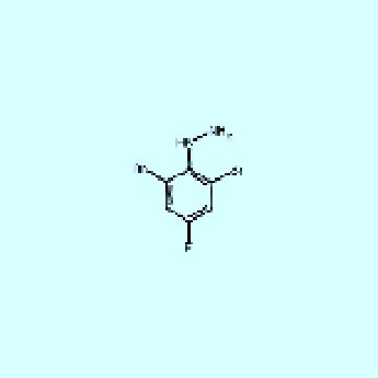 NNc1c(Br)cc(F)cc1Br